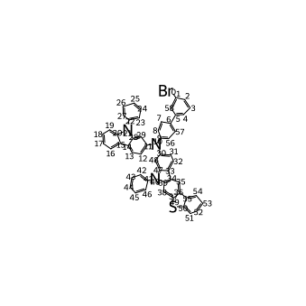 Brc1cccc(-c2ccc(N(c3ccc4c5ccccc5n(-c5ccccc5)c4c3)c3ccc4c5cc6c(cc5n(-c5ccccc5)c4c3)sc3ccccc36)cc2)c1